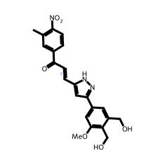 COc1cc(-c2cc(/C=C/C(=O)c3ccc([N+](=O)[O-])c(C)c3)[nH]n2)cc(CO)c1CO